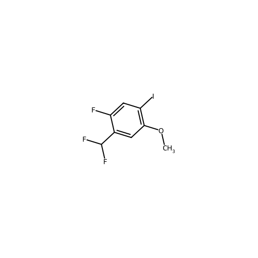 COc1cc(C(F)F)c(F)cc1I